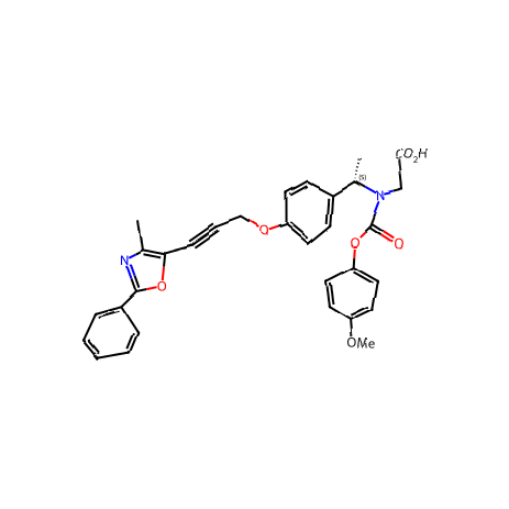 COc1ccc(OC(=O)N(CC(=O)O)[C@@H](C)c2ccc(OCC#Cc3oc(-c4ccccc4)nc3C)cc2)cc1